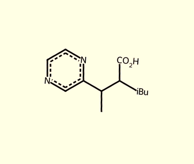 CCC(C)C(C(=O)O)C(C)c1cnccn1